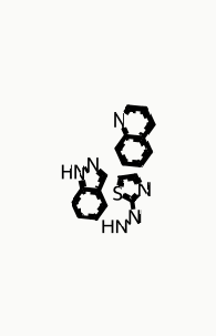 N=Nc1nccs1.c1ccc2[nH]ncc2c1.c1ccc2ncccc2c1